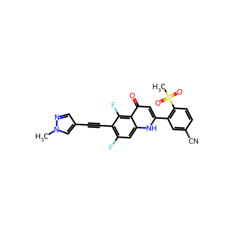 Cn1cc(C#Cc2c(F)cc3[nH]c(-c4cc(C#N)ccc4S(C)(=O)=O)cc(=O)c3c2F)cn1